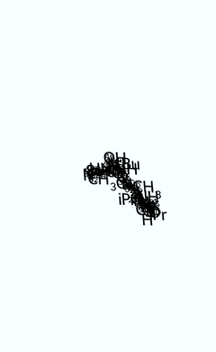 Cc1cc(Nc2ncc(Cl)c(Nc3ccccc3S(=O)(=O)C(C)C)n2)c(OC(C)C)cc1C1CCN(C(=O)COCC(=O)NC(C(=O)N2C[C@H](O)C[C@H]2C(=O)NCc2ccc(-c3scnc3C)cc2)C(C)(C)C)CC1